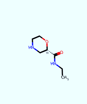 CCNC(=O)[C@@H]1CNCCO1